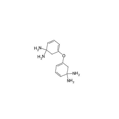 NC1(N)C=CC=C(OC2=CC=CC(N)(N)C2)C1